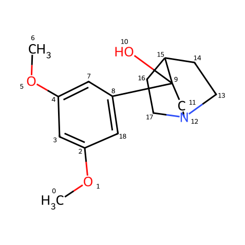 COc1cc(OC)cc(C2(O)CN3CCC2CC3)c1